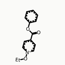 CCO[n+]1ccc(C(=O)Oc2ccccc2)cc1